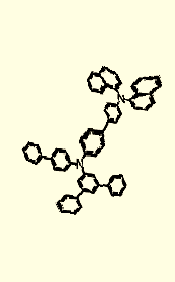 c1ccc(-c2ccc(N(c3ccc(-c4ccc(N(c5cccc6ccccc56)c5cccc6ccccc56)cc4)cc3)c3cc(-c4ccccc4)cc(-c4ccccc4)c3)cc2)cc1